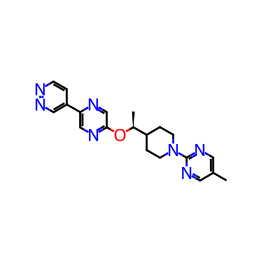 Cc1cnc(N2CCC([C@H](C)Oc3cnc(-c4ccnnc4)cn3)CC2)nc1